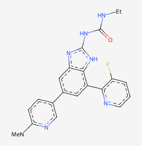 CCNC(=O)Nc1nc2cc(-c3ccc(NC)nc3)cc(-c3ncccc3F)c2[nH]1